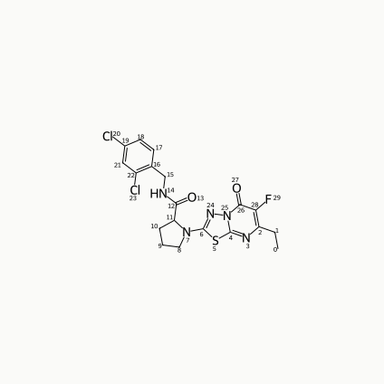 CCc1nc2sc(N3CCCC3C(=O)NCc3ccc(Cl)cc3Cl)nn2c(=O)c1F